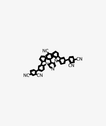 N#Cc1ccc(-c2c(-n3c4ccccc4c4cc(-c5ccc(C#N)cc5C#N)ccc43)cncc2-n2c3ccccc3c3cc(-c4ccc(C#N)cc4C#N)ccc32)cc1